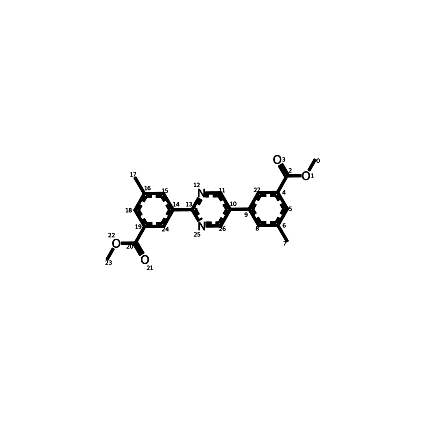 COC(=O)c1cc(C)cc(-c2cnc(-c3cc(C)cc(C(=O)OC)c3)nc2)c1